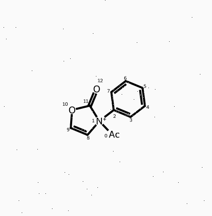 CC(=O)[N+]1(c2ccccc2)C=COC1=O